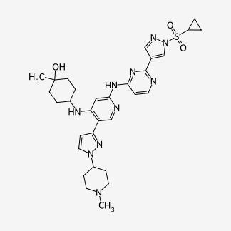 CN1CCC(n2ccc(-c3cnc(Nc4ccnc(-c5cnn(S(=O)(=O)C6CC6)c5)n4)cc3NC3CCC(C)(O)CC3)n2)CC1